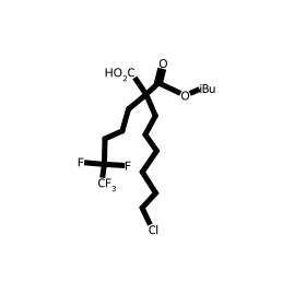 CCC(C)OC(=O)C(CCCCCCCl)(CCCC(F)(F)C(F)(F)F)C(=O)O